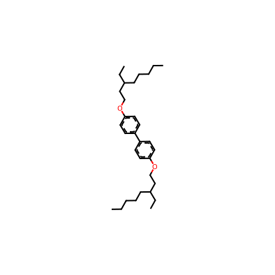 CCCCCC(CC)CCOc1ccc(-c2ccc(OCCC(CC)CCCCC)cc2)cc1